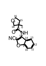 CC1(C(=O)Nc2c(C#N)oc3ccccc23)CCOC1